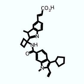 C=Cc1c(C2CCCC2)c2ccc(C(=O)NC3(C4=Nc5ccc(/C=C/C(=O)O)cc5C4C)CCC3)cc2n1C